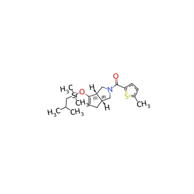 Cc1ccc(C(=O)N2C[C@@H]3CC=C(O[Si](C)(C)CC(C)C)[C@@H]3C2)s1